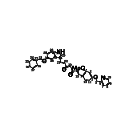 COc1cc(OCc2ccccn2)ccc1C=CC(=O)CC(=O)C=Cc1c[nH]c2ccc(OCc3ccccc3)cc12